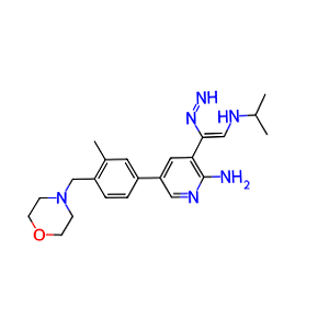 Cc1cc(-c2cnc(N)c(/C(=C/NC(C)C)N=N)c2)ccc1CN1CCOCC1